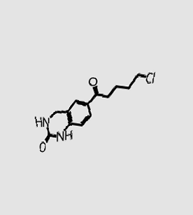 O=C1NCc2cc(C(=O)CCCCCl)ccc2N1